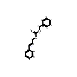 O=C(OC/C=C/c1ccccc1)OCc1ccccc1